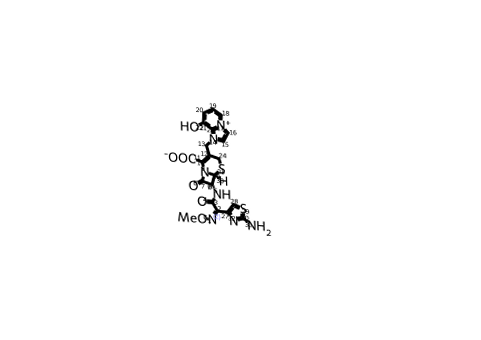 CO/N=C(\C(=O)N[C@@H]1C(=O)N2C(C(=O)[O-])=C(Cn3cc[n+]4cccc(O)c34)CS[C@H]12)c1csc(N)n1